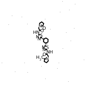 C=C1CCCN1CC(=O)Nc1nnc([C@H]2CCC[C@H](c3nnc(NC(=O)CN4CCCC4=O)s3)C2)s1